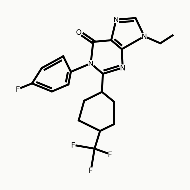 CCn1cnc2c(=O)n(-c3ccc(F)cc3)c(C3CCC(C(F)(F)F)CC3)nc21